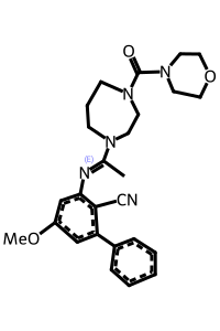 COc1cc(/N=C(\C)N2CCCN(C(=O)N3CCOCC3)CC2)c(C#N)c(-c2ccccc2)c1